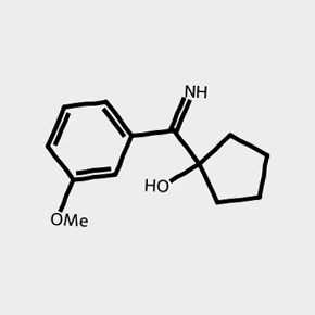 COc1cccc(C(=N)C2(O)CCCC2)c1